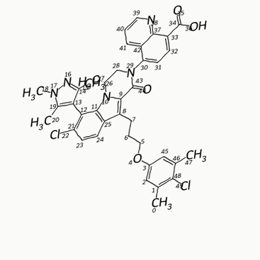 Cc1cc(OCCCc2c3n(c4c(-c5c(C)nn(C)c5C)c(Cl)ccc24)[C@H](C)CN(c2ccc(C(=O)O)c4ncccc24)C3=O)cc(C)c1Cl